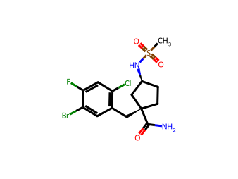 CS(=O)(=O)N[C@H]1CC[C@](Cc2cc(Br)c(F)cc2Cl)(C(N)=O)C1